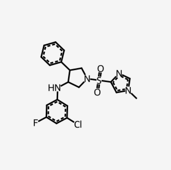 Cn1cnc(S(=O)(=O)N2CC(Nc3cc(F)cc(Cl)c3)C(c3ccccc3)C2)c1